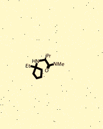 CCC1(N[C@H](C(=O)NC)C(C)C)CCCC1